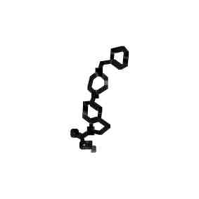 CC(=O)N1CCc2cc(N3CCN(Cc4ccccc4)CC3)ccc21